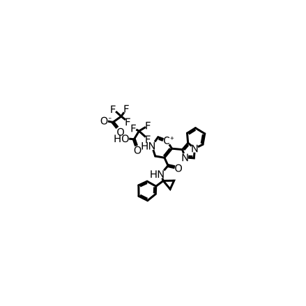 O=C(NC1(c2ccccc2)CC1)C1=C(c2ncn3ccccc23)[C+]=CNC1.O=C(O)C(F)(F)F.O=C([O-])C(F)(F)F